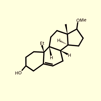 CC[C@]12CCC(O)CC1=CC[C@@H]1[C@H]2CC[C@]2(C)C(OC)CC[C@@H]12